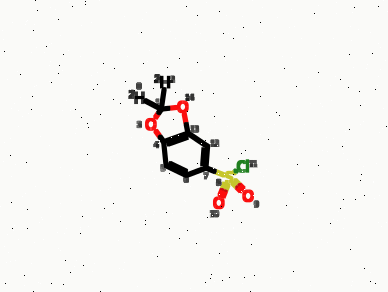 [2H]C1([2H])Oc2ccc(S(=O)(=O)Cl)cc2O1